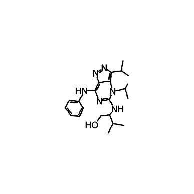 CC(C)c1nnc2c(Nc3ccccc3)nc(NC(CO)C(C)C)n(C(C)C)c1-2